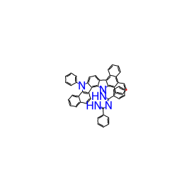 N=C(/N=C(\Nn1c2c3ccccc3c3ccccc3c2c2ccc3c(c4ccc5ccccc5c4n3-c3ccccc3)c21)c1ccccc1)c1ccccc1